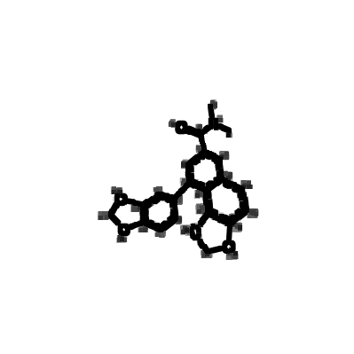 CN(C)C(=O)c1cc(-c2ccc3c(c2)OCO3)c2c3c(ccc2c1)OCO3